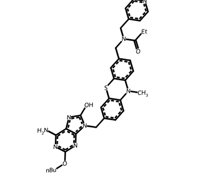 CCCCOc1nc(N)c2nc(O)n(Cc3ccc4c(c3)Sc3cc(CN(Cc5ccncc5)C(=O)CC)ccc3N4C)c2n1